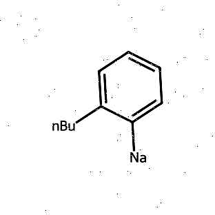 CCCCc1cccc[c]1[Na]